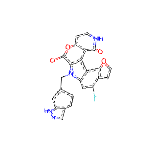 O=c1[nH]ccc2oc(=O)c3c(c12)c1c2occc2c(F)cc1n3Cc1ccc2cn[nH]c2c1